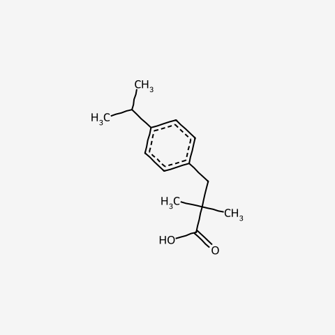 CC(C)c1ccc(CC(C)(C)C(=O)O)cc1